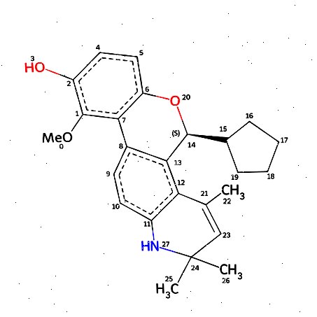 COc1c(O)ccc2c1-c1ccc3c(c1[C@H](C1CCCC1)O2)C(C)=CC(C)(C)N3